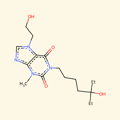 CCC(O)(CC)CCCCn1c(=O)c2c(ncn2CCO)n(C)c1=O